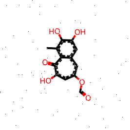 Cc1c(O)c(O)cc2cc(OC=O)cc(O)c(=O)c12